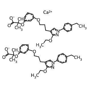 CCOc1nn(-c2ccc(CC)cc2)cc1CCCOc1cccc(OC(C)(C)C(=O)[O-])c1.CCOc1nn(-c2ccc(CC)cc2)cc1CCCOc1cccc(OC(C)(C)C(=O)[O-])c1.[Ca+2]